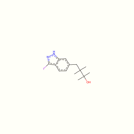 CC(C)(Cc1ccc2c(I)n[nH]c2c1)[Si](C)(C)O